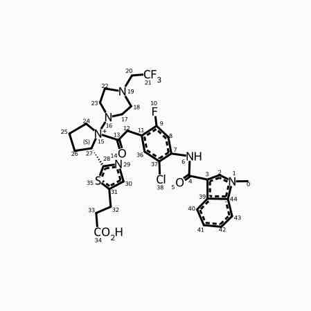 Cn1cc(C(=O)Nc2cc(F)c(CC(=O)[N+]3(N4CCN(CC(F)(F)F)CC4)CCC[C@H]3c3ncc(CCC(=O)O)s3)cc2Cl)c2ccccc21